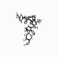 CNc1cc(Nc2cccn(C3CCC(OC)CC3)c2=O)nc2c(C(=O)N[C@H]3CC[C@H](OC)C3)cnn12